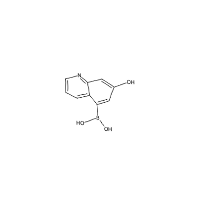 OB(O)c1cc(O)cc2ncccc12